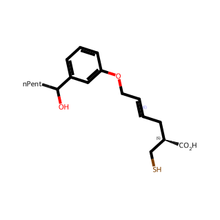 CCCCCC(O)c1cccc(OC/C=C/C[C@H](CS)C(=O)O)c1